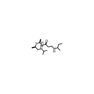 C=C(CNC(C)C)SC(=C)NC(=O)CCNC(C)CC